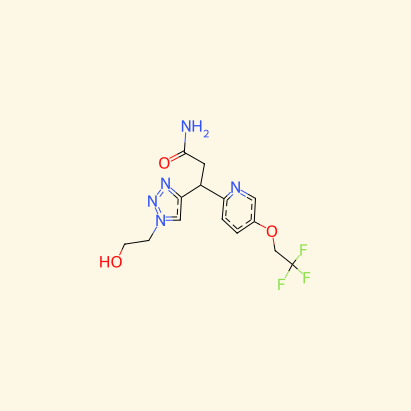 NC(=O)CC(c1ccc(OCC(F)(F)F)cn1)c1cn(CCO)nn1